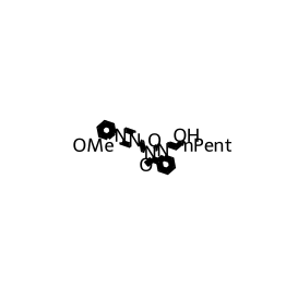 CCCCCC(O)C=Cn1c(=O)n(CCN2CCN(c3ccccc3OC)CC2)c(=O)c2ccccc21